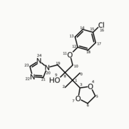 CC(C)(C1OCCO1)C(O)(COc1ccc(Cl)cc1)Cn1cncn1